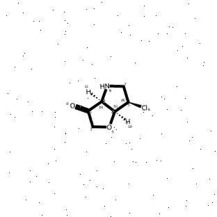 O=C1CO[C@@H]2[C@H](Cl)CN[C@H]12